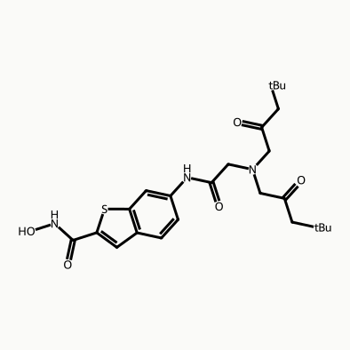 CC(C)(C)CC(=O)CN(CC(=O)CC(C)(C)C)CC(=O)Nc1ccc2cc(C(=O)NO)sc2c1